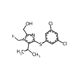 CC(C)c1c(Sc2cc(Cl)cc(Cl)c2)nc(CO)n1CF